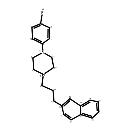 Fc1ccc(N2CCN(CCCc3ccc4ccccc4c3)CC2)cc1